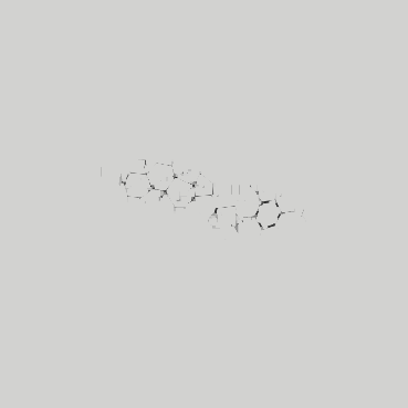 COc1ccc(N(N)CC(=O)[C@H]2CC[C@H]3[C@@H]4CC[C@H]5C[C@](C)(O)CC[C@]5(C)[C@H]4CC[C@]23C)c(N)c1